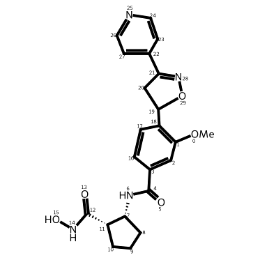 COc1cc(C(=O)N[C@@H]2CCC[C@@H]2C(=O)NO)ccc1C1CC(c2ccncc2)=NO1